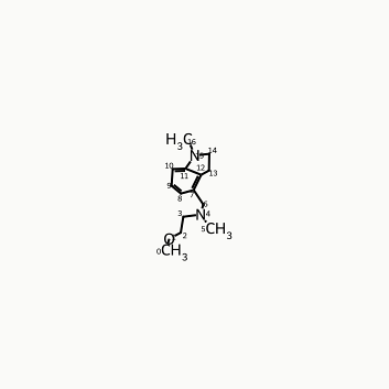 COCCN(C)Cc1cccc2c1CCN2C